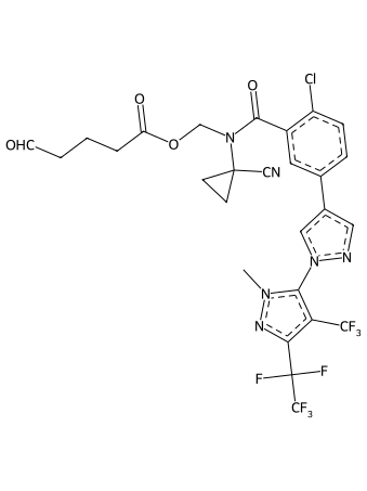 Cn1nc(C(F)(F)C(F)(F)F)c(C(F)(F)F)c1-n1cc(-c2ccc(Cl)c(C(=O)N(COC(=O)CCCC=O)C3(C#N)CC3)c2)cn1